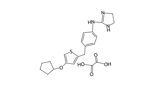 O=C(O)C(=O)O.c1cc(NC2=NCCN2)ccc1Cc1cc(OC2CCCC2)cs1